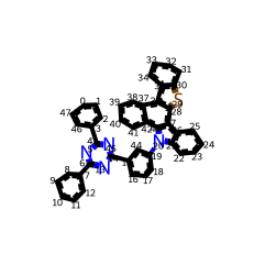 c1ccc(-c2nc(-c3ccccc3)nc(-c3cccc(-n4c5ccccc5c5c6sc7ccccc7c6c6ccccc6c54)c3)n2)cc1